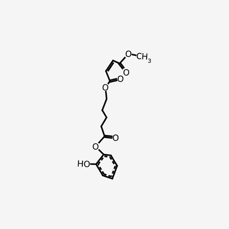 COC(=O)/C=C\C(=O)OCCCCC(=O)Oc1ccccc1O